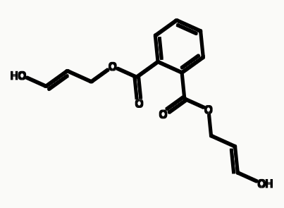 O=C(OCC=CO)c1ccccc1C(=O)OCC=CO